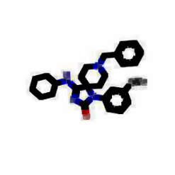 COc1cccc(N2C(=O)N=C(NC3CCCCC3)C23CCN(Cc2ccccc2)CC3)c1